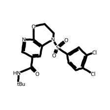 CC(C)(C)NC(=O)c1cnc2c(c1)N(S(=O)(=O)c1ccc(Cl)c(Cl)c1)CCO2